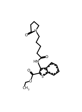 CCOC(=O)c1sc2ccccc2c1NC(=O)CCCCN1CCCC1=O